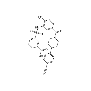 Cc1ccc(C(=O)N2CCC(c3ccc(C#N)cc3)CC2)cc1NS(=O)(=O)c1cccc(C(=O)O)c1